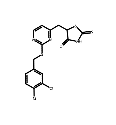 O=C1NC(=S)SC1Cc1ccnc(SCc2ccc(Cl)c(Cl)c2)n1